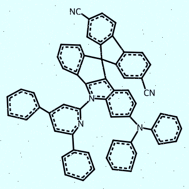 N#Cc1ccc2c(c1)C1(c3cc(C#N)ccc3-2)c2ccccc2-c2c1c1ccc(N(c3ccccc3)c3ccccc3)cc1n2-c1cc(-c2ccccc2)cc(-c2ccccc2)n1